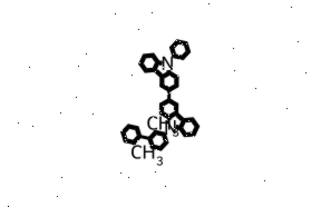 Cc1ccccc1-c1cccc(-n2c3ccccc3c3cc(-c4ccc5c(c4)c4ccccc4n5-c4ccccc4)ccc32)c1C